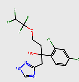 OC(CCOC(F)(F)C(F)F)(Cc1nc[nH]n1)c1ccc(Cl)cc1Cl